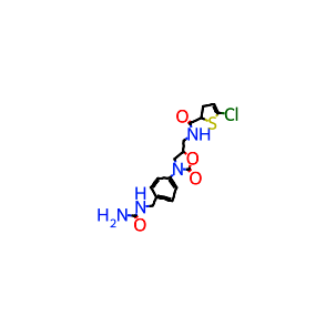 NC(=O)NCc1ccc(N2CC(CNC(=O)C3CC=C(Cl)S3)OC2=O)cc1